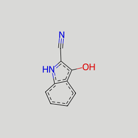 N#Cc1[nH]c2ccccc2c1O